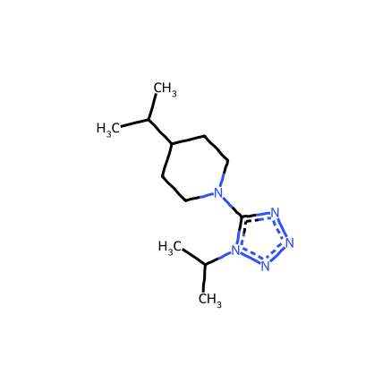 CC(C)C1CCN(c2nnnn2C(C)C)CC1